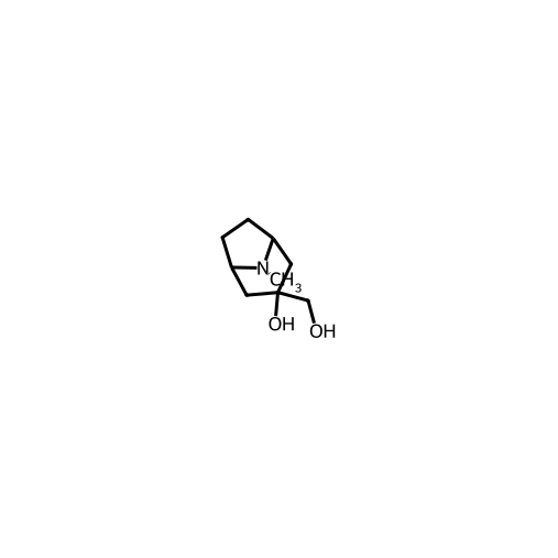 CN1C2CCC1CC(O)(CO)C2